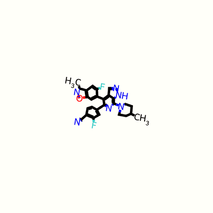 Cc1noc2cc(-c3c(-c4ccc(C#N)c(F)c4)nc(N4CCC(C)CC4)c4[nH]ncc34)c(F)cc12